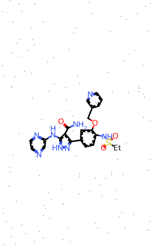 CCS(=O)(=O)Nc1ccc(-c2n[nH]c(Nc3cnccn3)c2C(N)=O)cc1OCc1cccnc1